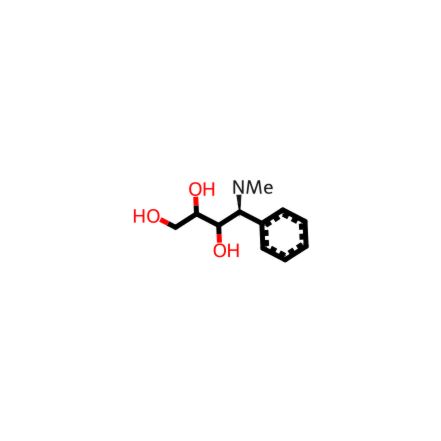 CN[C@@H](c1ccccc1)C(O)C(O)CO